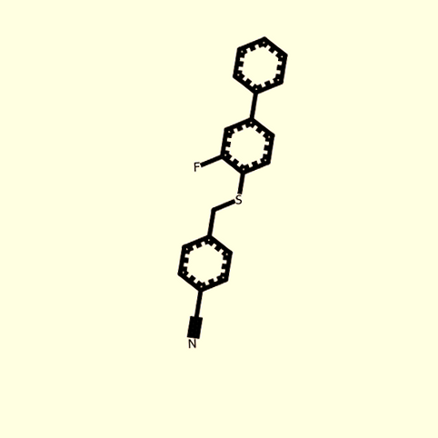 N#Cc1ccc(CSc2ccc(-c3ccccc3)cc2F)cc1